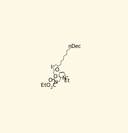 CCCCCCCCCCCCCCCCCC1CCC(COC(=O)N(Cc2cccc[n+]2CC)C(=O)OCC)O1.[I-]